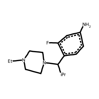 CCN1CCN(C(c2ccc(N)cc2F)C(C)C)CC1